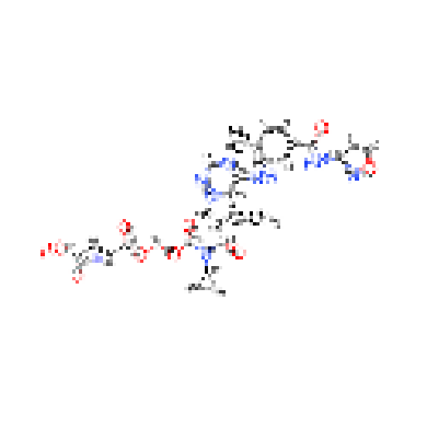 Cc1ccc(C(=O)Nc2ccon2)cc1Nc1ncnn2cc(C(=O)N(C(=O)OCOC(=O)/C=C/C(=O)O)C3CC3)c(C)c12